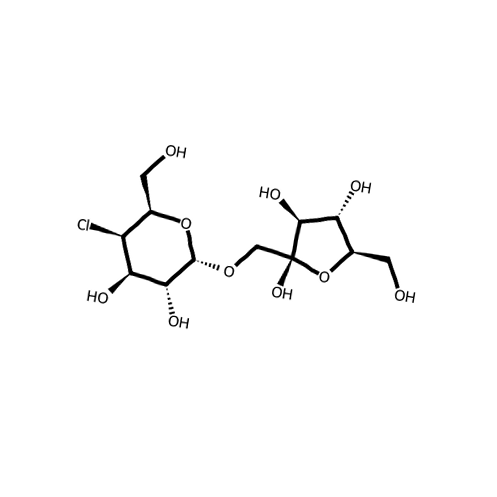 OC[C@H]1O[C@](O)(CO[C@H]2O[C@H](CO)[C@H](Cl)[C@H](O)[C@H]2O)[C@@H](O)[C@@H]1O